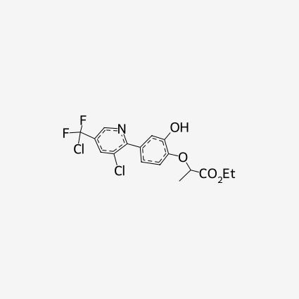 CCOC(=O)C(C)Oc1ccc(-c2ncc(C(F)(F)Cl)cc2Cl)cc1O